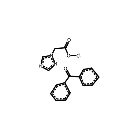 O=C(Cn1cncn1)OCl.O=C(c1ccccc1)c1ccccc1